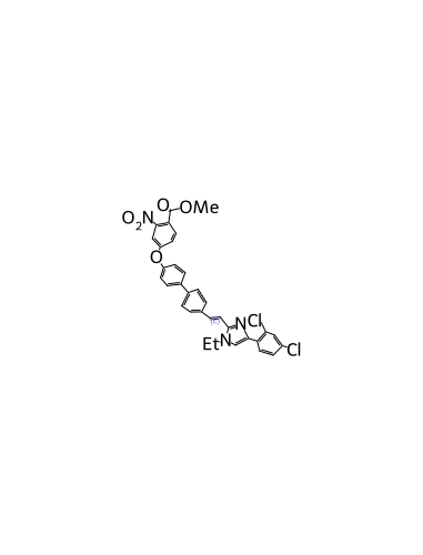 CCn1cc(-c2ccc(Cl)cc2Cl)nc1/C=C/c1ccc(-c2ccc(Oc3ccc(C(=O)OC)c([N+](=O)[O-])c3)cc2)cc1